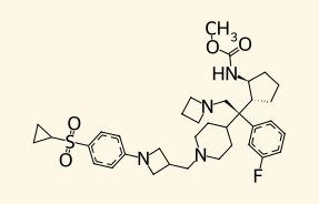 COC(=O)N[C@H]1CCC[C@@H]1[C@](CN1CCC1)(c1cccc(F)c1)C1CCN(CC2CN(c3ccc(S(=O)(=O)C4CC4)cc3)C2)CC1